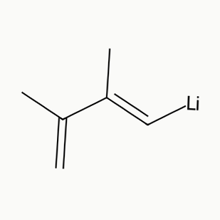 [Li]/[CH]=C(\C)C(=C)C